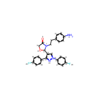 Nc1ccc(CCN2C(=O)COC2c2cn(-c3ccc(F)cc3)nc2-c2ccc(F)cc2)cc1